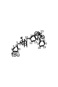 CC(C)(C)c1ccc(CNC(=S)NCc2ccc(N(c3ccccc3)S(C)(=O)=O)c(Cl)c2)cc1